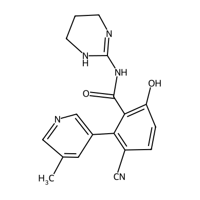 Cc1cncc(-c2c(C#N)ccc(O)c2C(=O)NC2=NCCCN2)c1